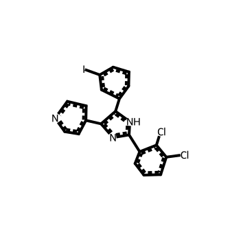 Clc1cccc(-c2nc(-c3ccncc3)c(-c3cccc(I)c3)[nH]2)c1Cl